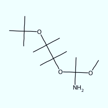 COC(C)(N)OC(C)(C)C(C)(C)OC(C)(C)C